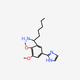 CCCCCC(N)c1cc(-c2ncc[nH]2)cc(OC)c1OC